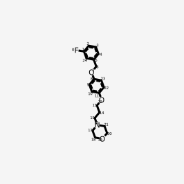 Fc1cccc(COc2ccc(OCCCN3CCOCC3)cc2)c1